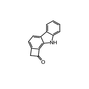 O=C1Cc2ccc3c([nH]c4ccccc43)c21